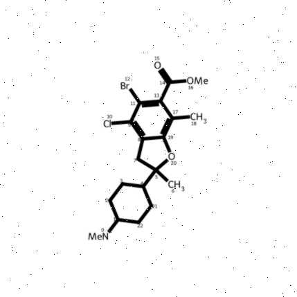 CNC1CCC(C2(C)Cc3c(Cl)c(Br)c(C(=O)OC)c(C)c3O2)CC1